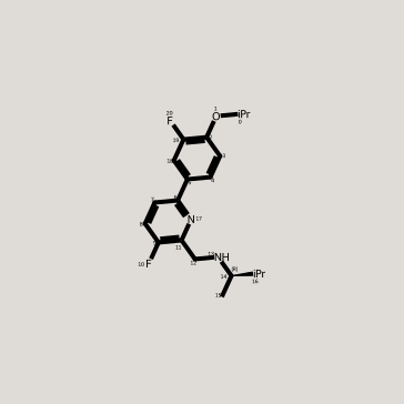 CC(C)Oc1ccc(-c2ccc(F)c(CN[C@H](C)C(C)C)n2)cc1F